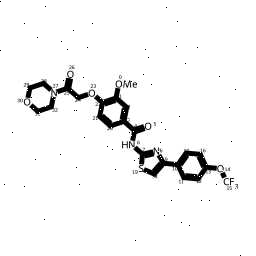 COc1cc(C(=O)Nc2nc(-c3ccc(OC(F)(F)F)cc3)cs2)ccc1OCC(=O)N1CCOCC1